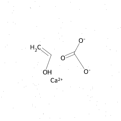 C=CO.O=C([O-])[O-].[Ca+2]